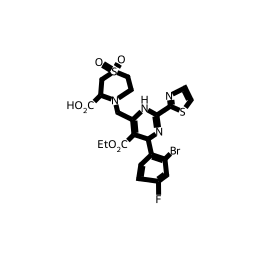 CCOC(=O)C1=C(CN2CCS(=O)(=O)CC2C(=O)O)NC(c2nccs2)=NC1c1ccc(F)cc1Br